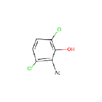 CC(=O)c1c(Cl)ccc(Cl)c1O